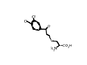 N[C@@H](CSCCC(=O)c1ccc(Cl)c(Cl)c1)C(=O)O